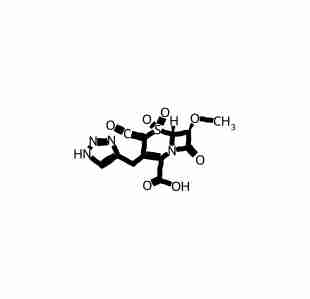 CO[C@H]1C(=O)N2C(C(=O)O)=C(Cc3c[nH]nn3)C(=C=O)S(=O)(=O)[C@H]12